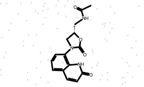 CC(=O)NC[C@H]1CN(c2cccc3ccc(=O)[nH]c23)C(=O)O1